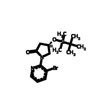 CC(C)(C)[Si](C)(C)O[C@H]1CC(=O)N(c2ncccc2Br)C1